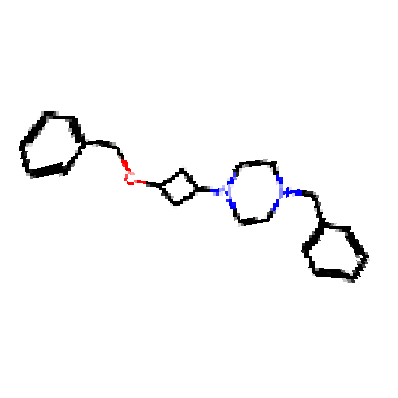 c1ccc(COC2CC(N3CCN(Cc4ccccc4)CC3)C2)cc1